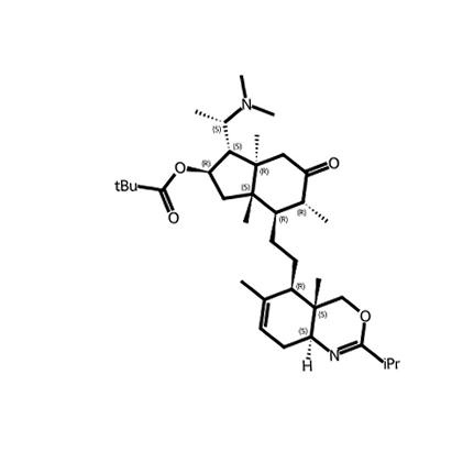 CC1=CC[C@@H]2N=C(C(C)C)OC[C@@]2(C)[C@@H]1CC[C@@H]1[C@@H](C)C(=O)C[C@]2(C)[C@@H]([C@H](C)N(C)C)[C@H](OC(=O)C(C)(C)C)C[C@@]12C